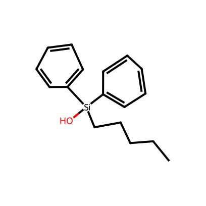 CCCCC[Si](O)(c1ccccc1)c1ccccc1